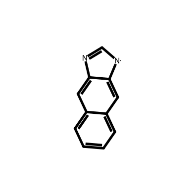 C1=Nc2cc3ccccc3cc2[N]1